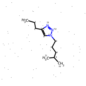 CCCc1cn(CCCC(C)C)nn1